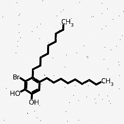 CCCCCCCCCc1cc(O)c(O)c(Br)c1CCCCCCCCC